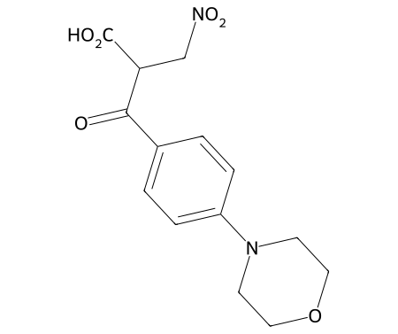 O=C(O)C(C[N+](=O)[O-])C(=O)c1ccc(N2CCOCC2)cc1